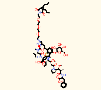 CCCC1C2C(=O)N(CCOCCOCCOCCn3cc(CC(OC(=O)N(C)[C@H](C(=O)N[C@H](C(=O)N(C)[C@@H](C(C)CC)[C@@H](CC(=O)N4CCC[C@H]4[C@H](OC)[C@@H](C)C(=O)NC(Cc4ccccc4)C(=O)O)OC)C(C)C)C(C)C)c4ccc(O[C@@H]5O[C@H](CO)[C@H](O)[C@H](O)[C@H]5O)c5cc(CCC(=O)O)sc45)nn3)C(=O)C12CCC